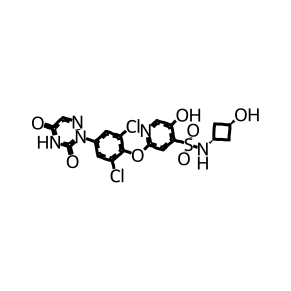 O=c1cnn(-c2cc(Cl)c(Oc3cc(S(=O)(=O)N[C@H]4C[C@H](O)C4)c(O)cn3)c(Cl)c2)c(=O)[nH]1